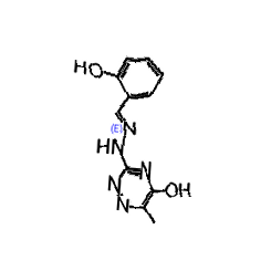 Cc1nnc(N/N=C/c2ccccc2O)nc1O